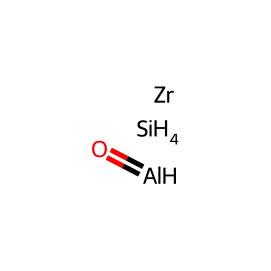 [O]=[AlH].[SiH4].[Zr]